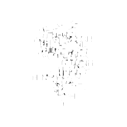 CSCC[C@H](NC(=O)[C@@H]1CCCN1C(=O)[C@@H](NC(=O)[C@@H](NC(=O)[C@H](C)NC(=O)[C@H](CO)NC(=O)[C@@H](N)CCSC)C(C)C)[C@@H](C)O)C(=O)N[C@@H](CO)C(=O)N[C@@H](CCCNC(=N)N)C(=O)N[C@H](C(=O)N[C@H](C(=O)N1CCC[C@H]1C(=O)N[C@@H](CC(N)=O)C(=O)N[C@@H](CCC(N)=O)C(=O)N[C@@H](C)C(=O)N[C@@H](CC(C)C)C(=O)O)C(C)C)C(C)C